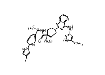 CO[C@]1(C(=O)N[C@@H](C)c2ccc(-n3cc(F)cn3)nc2)CC[C@H](c2nc(Nc3cc(C)[nH]n3)c3ncccc3n2)CC1